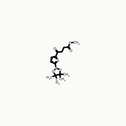 COC(=O)CCC(=O)c1ccc(B2OC(C)(C)C(C)(C)O2)s1